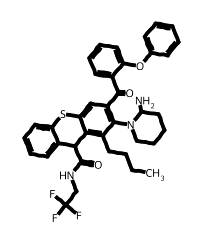 CCCCc1c2c(cc(C(=O)c3ccccc3Oc3ccccc3)c1N1CCCCC1N)Sc1ccccc1C2C(=O)NCC(F)(F)F